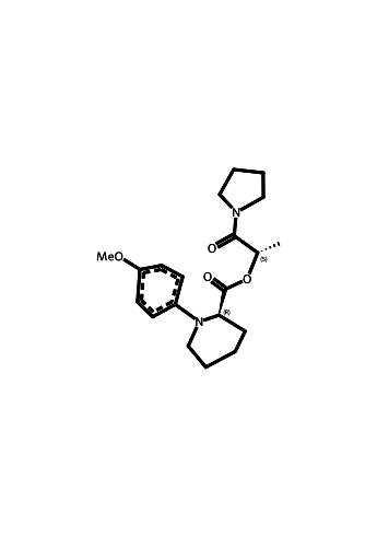 COc1ccc(N2CCCC[C@@H]2C(=O)O[C@@H](C)C(=O)N2CCCC2)cc1